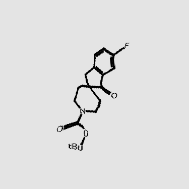 CC(C)(C)OC(=O)N1CCC2(CC1)Cc1ccc(F)cc1C2=O